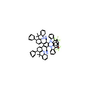 CC1(C)C2=CC=CCC2=NC2=C1C(c1ccccc1)CC=C2c1c(C#N)c(-n2c3ccccc3c3ccc(C(F)(F)F)cc32)c(-n2c3ccccc3c3ccc(C(F)(F)F)cc32)c(C#N)c1C1=CCC(c2ccccc2)C2=C1N=C1CC=CC=C1C2(C)C